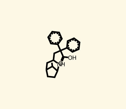 CC1C2CCC1NC(CC(C(=O)O)(c1ccccc1)c1ccccc1)C2